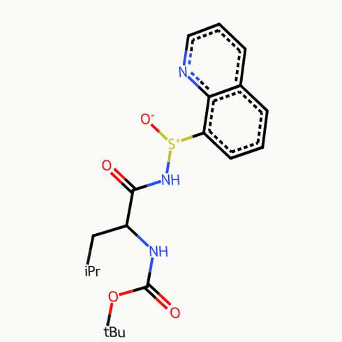 CC(C)CC(NC(=O)OC(C)(C)C)C(=O)N[S+]([O-])c1cccc2cccnc12